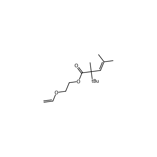 C=COCCOC(=O)C(C)(C=C(C)C)C(C)(C)C